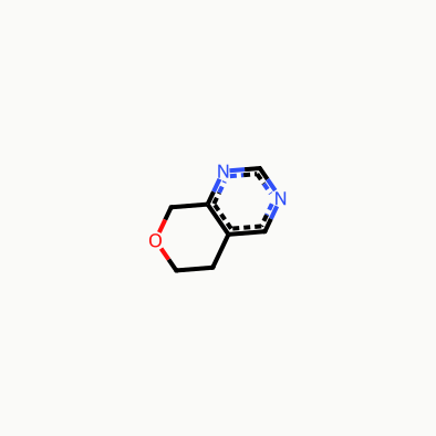 c1ncc2c(n1)COCC2